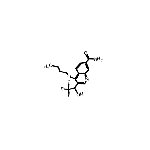 CCCCOc1c(C(O)C(F)(F)F)cnc2cc(C(N)=O)ccc12